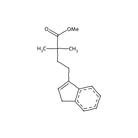 COC(=O)C(C)(C)CCC1=CCc2ccccc21